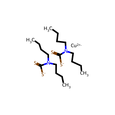 CCCCN(CCCC)C(=S)[S-].CCCCN(CCCC)C(=S)[S-].[Cu+2]